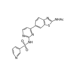 CC(=O)Nc1nc2ccc(-c3ccnc(NS(=O)(=O)c4cccnc4)n3)cc2s1